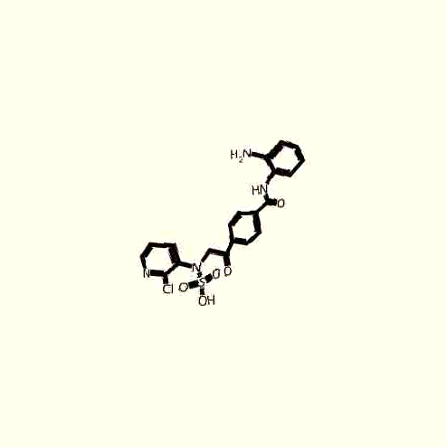 Nc1ccccc1NC(=O)c1ccc(C(=O)CN(c2cccnc2Cl)S(=O)(=O)O)cc1